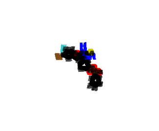 O=C1NC(=S)NC1(Cc1ccc(F)c(Br)c1)c1cccc(OS(=O)(=O)c2ccccc2)c1